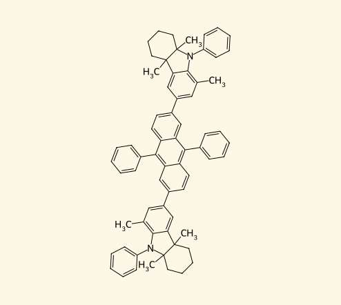 Cc1cc(-c2ccc3c(-c4ccccc4)c4cc(-c5cc(C)c6c(c5)C5(C)CCCCC5(C)N6c5ccccc5)ccc4c(-c4ccccc4)c3c2)cc2c1N(c1ccccc1)C1(C)CCCCC21C